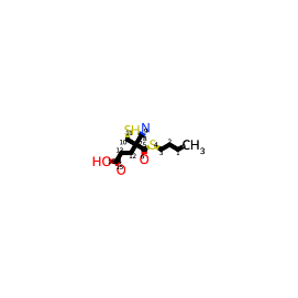 CCCCSC(=O)C(C#N)(CS)CCC(=O)O